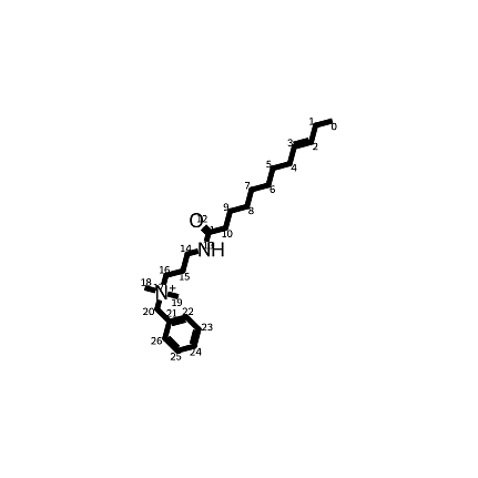 CC/C=C/CCCCCCCC(=O)NCCC[N+](C)(C)Cc1ccccc1